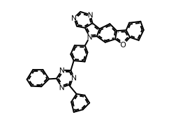 c1ccc(-c2nc(-c3ccccc3)nc(-c3ccc(-n4c5cc6oc7ccccc7c6cc5c5ncncc54)cc3)n2)cc1